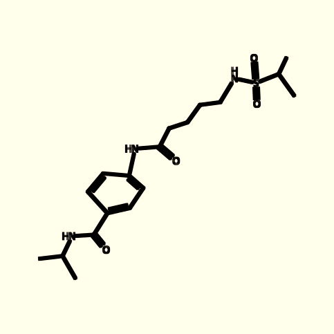 CC(C)NC(=O)c1ccc(NC(=O)CCCCNS(=O)(=O)C(C)C)cc1